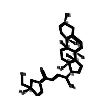 CC(CCC(=O)N1CC[C@@](C)(CO)C1)[C@H]1CC[C@H]2[C@@H]3CC=C4C[C@@H](O)CC[C@]4(C)[C@H]3CC[C@]12C